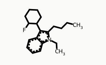 CCCCc1c(C2CCCCC2F)c2ccccc2n1CC